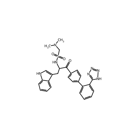 CN(C)CS(=O)(=O)NC(Cc1c[nH]c2ccccc12)C(=O)c1ccc(-c2ccccc2-c2nnn[nH]2)cc1